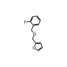 Fc1ccccc1COCc1ccco1